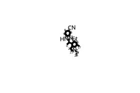 C=C(c1nc2cc(C#N)ccc2[nH]1)c1c(CC)cc(C)c2c1ccn2SI